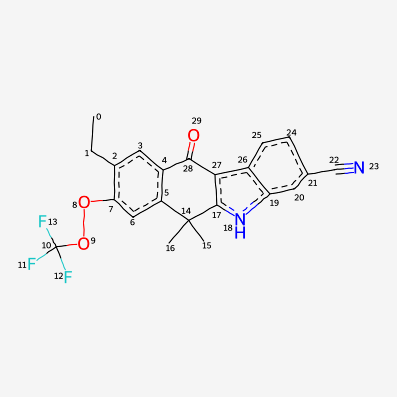 CCc1cc2c(cc1OOC(F)(F)F)C(C)(C)c1[nH]c3cc(C#N)ccc3c1C2=O